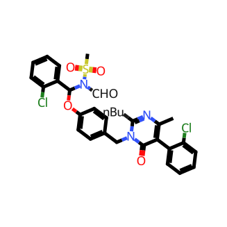 CCCCc1nc(C)c(-c2ccccc2Cl)c(=O)n1Cc1ccc(OC(c2ccccc2Cl)N(C=O)S(C)(=O)=O)cc1